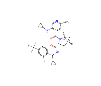 Cc1cc(C(=O)N2[C@@H](C(=O)NC(c3ccc(C(F)(F)F)cc3F)C3CC3)C[C@H]3C[C@H]32)c(NC2CC2)cn1